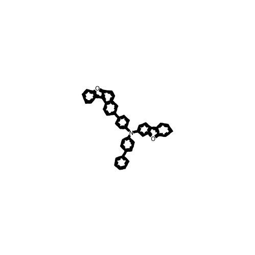 c1ccc(-c2ccc(N(c3ccc(-c4ccc5c(ccc6oc7ccccc7c65)c4)cc3)c3ccc4c(c3)oc3ccccc34)cc2)cc1